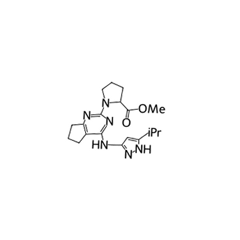 COC(=O)C1CCCN1c1nc2c(c(Nc3cc(C(C)C)[nH]n3)n1)CCC2